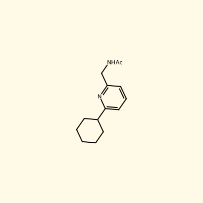 CC(=O)NCc1cccc(C2CCCCC2)n1